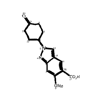 COc1cc2nn(C3CCC(=O)CC3)cc2cc1C(=O)O